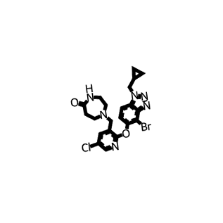 O=C1CCN(Cc2cc(Cl)cnc2Oc2ccc3c(nnn3CC3CC3)c2Br)CCN1